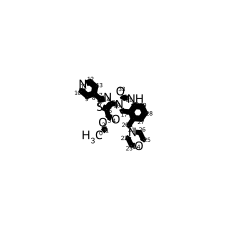 CCOC(=O)c1sc(-c2ccncc2)nc1N1Cc2c(CN3CCOCC3)cccc2NC1=O